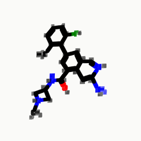 Cc1cccc(F)c1-c1cc(C(=O)NC2CN(C)C2)c2cc(N)ncc2c1